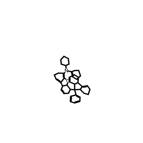 C1=CC2C(CC1)C1=CCCCC1C2(c1ccccc1)C1CC=CC2C3=CCCC(N(C4=CCCCC4)C4CCCCC4)=C3OC21